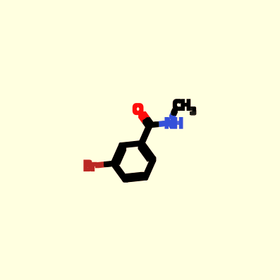 CNC(=O)c1cccc(Br)c1